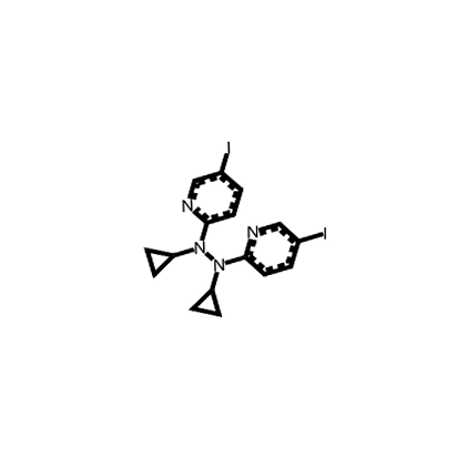 Ic1ccc(N(C2CC2)N(c2ccc(I)cn2)C2CC2)nc1